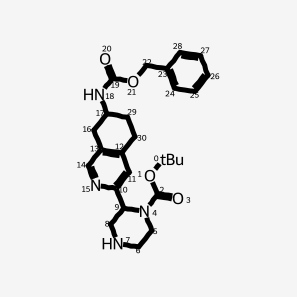 CC(C)(C)OC(=O)N1CCNCC1c1cc2c(cn1)CC(NC(=O)OCc1ccccc1)CC2